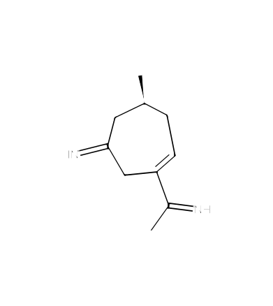 CC(=N)C1=CC[C@H](C)CC(=N)C1